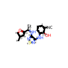 [C-]#[N+]c1cccc(Nc2nsnc2N[C@H](CC)c2cc(C)co2)c1O